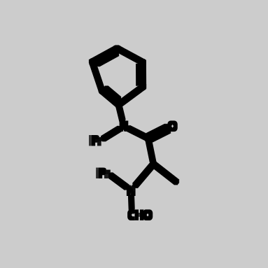 CC(C)N(C(=O)C(C)N(C=O)C(C)C)c1ccccc1